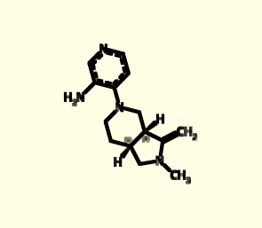 C=C1[C@H]2CN(c3ccncc3N)CC[C@H]2CN1C